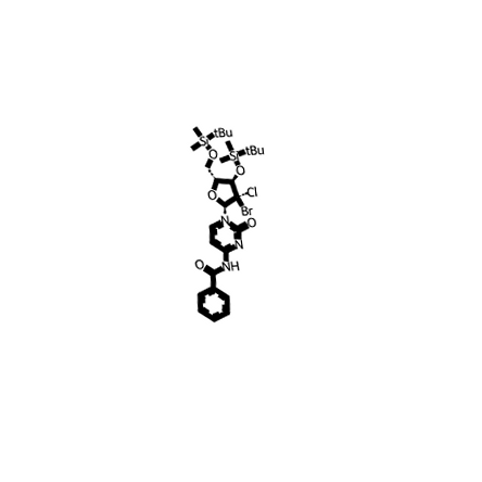 CC(C)(C)[Si](C)(C)OC[C@H]1O[C@@H](n2ccc(NC(=O)c3ccccc3)nc2=O)[C@](Cl)(Br)[C@@H]1O[Si](C)(C)C(C)(C)C